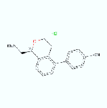 CNC[C@H]1OCCc2c(-c3ccc(C#N)cc3)cccc21.Cl